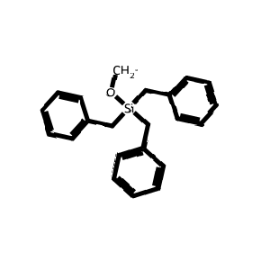 [CH2]O[Si](Cc1ccccc1)(Cc1ccccc1)Cc1ccccc1